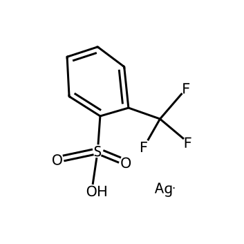 O=S(=O)(O)c1ccccc1C(F)(F)F.[Ag]